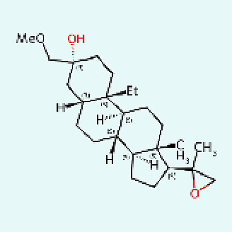 CC[C@]12CC[C@](O)(COC)C[C@H]1CC[C@H]1[C@@H]3CC[C@H](C4(C)CO4)[C@@]3(C)CC[C@@H]12